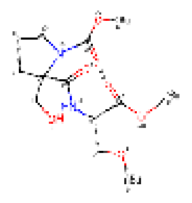 CCCCOC[C@H](NC(=O)C1(CO)CCCN1C(=O)OC(C)(C)C)C(=O)OCCCC